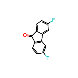 O=C1c2ccc(F)cc2-c2cc(F)ccc21